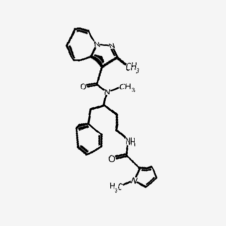 Cc1nn2ccccc2c1C(=O)N(C)C(CCNC(=O)c1cccn1C)Cc1ccccc1